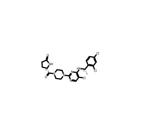 C[C@H](Nc1nc(N2CCN(C(=O)[C@@H]3CCC(=O)N3)CC2)ncc1Cl)c1ccc(Cl)cc1Cl